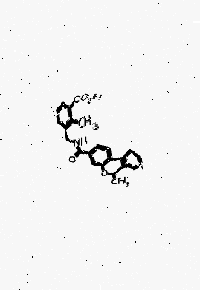 Cc1c(CNC(=O)c2ccc3c(c2)OC(C)c2cnccc2-3)cccc1C(=O)O